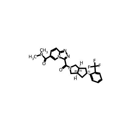 CN(C)C(=O)c1ccc2nnc(C(=O)N3C[C@H]4C[C@H](c5ccccc5C(F)(F)F)C[C@H]4C3)n2c1